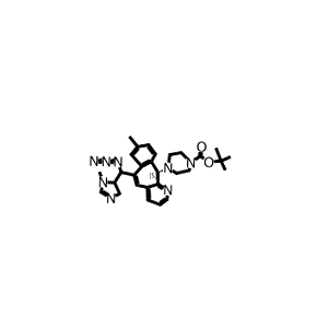 Cc1ccc2c(c1)C(C(N=[N+]=[N-])C1CN=CN1C)=Cc1cccnc1[C@H]2N1CCN(C(=O)OC(C)(C)C)CC1